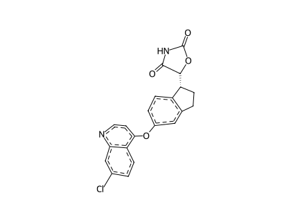 O=C1NC(=O)C([C@@H]2CCc3cc(Oc4ccnc5cc(Cl)ccc45)ccc32)O1